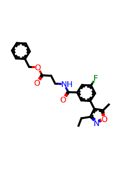 CCc1noc(C)c1-c1cc(F)cc(C(=O)NCCC(=O)OCc2ccccc2)c1